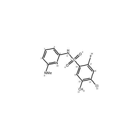 CNc1cccc(NS(=O)(=O)c2cc(C)c(Cl)cc2F)n1